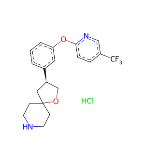 Cl.FC(F)(F)c1ccc(Oc2cccc([C@H]3COC4(CCNCC4)C3)c2)nc1